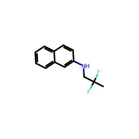 CC(F)(F)CNc1ccc2ccccc2c1